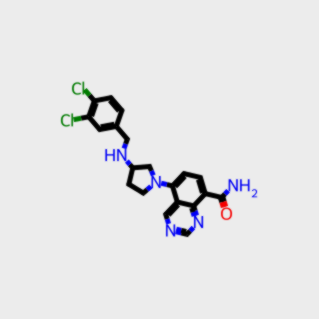 NC(=O)c1ccc(N2CCC(NCc3ccc(Cl)c(Cl)c3)C2)c2cncnc12